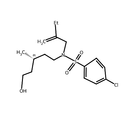 C=C(CC)CN(CC[C@@H](C)CCO)S(=O)(=O)c1ccc(Cl)cc1